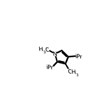 Cc1c(C(C)C)cn(C)c1C(C)C